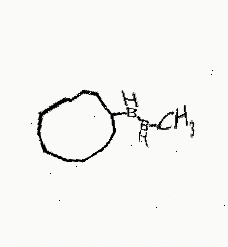 CBBC1CCCCCCCCCC1